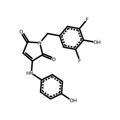 O=C1C=C(Nc2ccc(O)cc2)C(=O)N1Cc1cc(F)c(O)c(F)c1